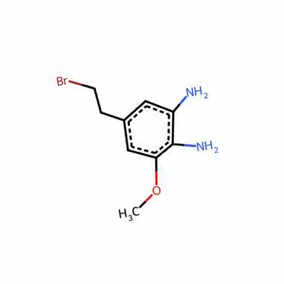 COc1cc(CCBr)cc(N)c1N